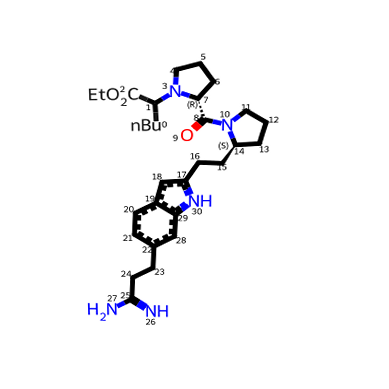 CCCCC(C(=O)OCC)N1CCC[C@@H]1C(=O)N1CCC[C@H]1CCc1cc2ccc(CCC(=N)N)cc2[nH]1